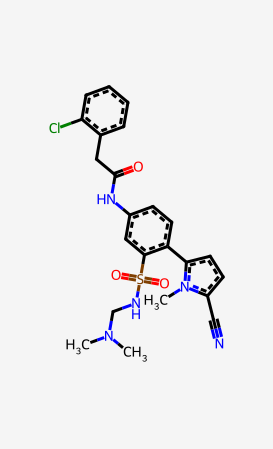 CN(C)CNS(=O)(=O)c1cc(NC(=O)Cc2ccccc2Cl)ccc1-c1ccc(C#N)n1C